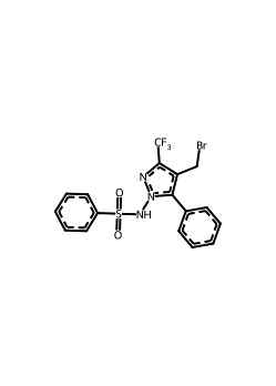 O=S(=O)(Nn1nc(C(F)(F)F)c(CBr)c1-c1ccccc1)c1ccccc1